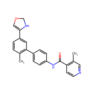 Cc1cnccc1C(=O)Nc1ccc(-c2cc(C3=COCN3)ccc2C)cc1